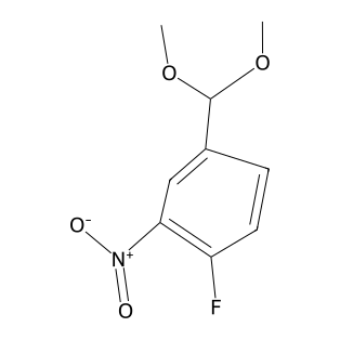 COC(OC)c1ccc(F)c([N+](=O)[O-])c1